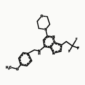 COc1ccc(CNc2cc(N3CCOCC3)nn3c(CC(F)(F)F)cnc23)cc1